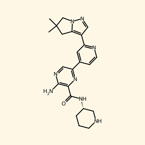 CC1(C)Cc2c(-c3cc(-c4cnc(N)c(C(=O)N[C@H]5CCCNC5)n4)ccn3)cnn2C1